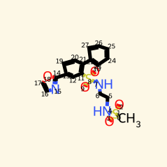 CS(=O)(=O)NCCNS(=O)(=O)c1cc(-c2ncco2)ccc1-c1ccccc1